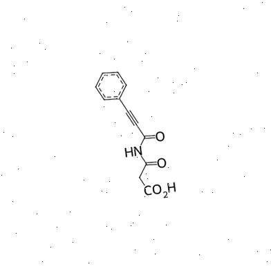 O=C(O)CC(=O)NC(=O)C#Cc1ccccc1